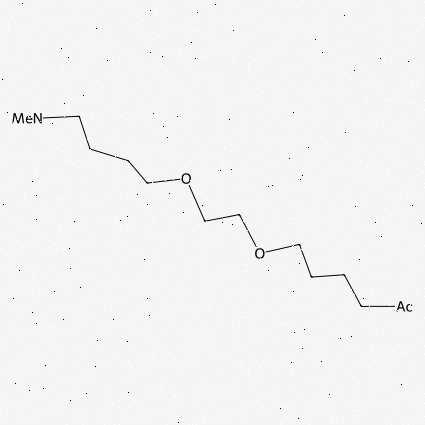 CNCCCCOCCOCCCCC(C)=O